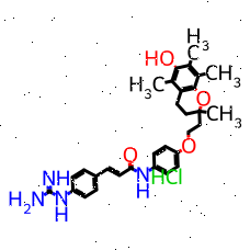 Cc1c(C)c2c(c(C)c1O)CCC(C)(CCOc1ccc(NC(=O)C=Cc3ccc(NC(=N)N)cc3)cc1)O2.Cl